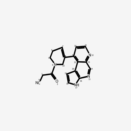 N#CCC(=O)N1CCC=C(c2ccnc3cnc4[nH]ccc4c23)C1